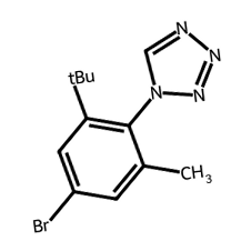 Cc1cc(Br)cc(C(C)(C)C)c1-n1cnnn1